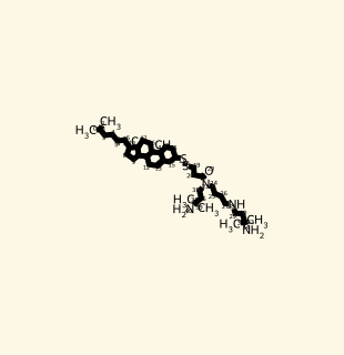 CC(C)CCCCC1CCC2C3CC=C4CC(SSCCC(=O)N(CCCCNCCC(C)(C)N)CCC(C)(C)N)CCC4(C)C3CCC12C